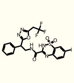 O=C(NCC(c1ccccc1)c1nnc(CC(F)(F)F)o1)C1=Nc2ccc(I)cc2S(=O)(=O)N1